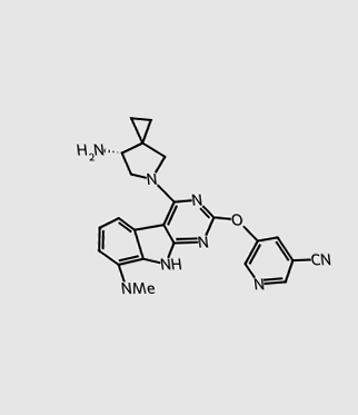 CNc1cccc2c1[nH]c1nc(Oc3cncc(C#N)c3)nc(N3C[C@H](N)C4(CC4)C3)c12